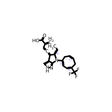 C=C(C=C=c1/c(=C\C)n(/C2=C/C=C(/C(F)(F)F)C/C=C\C2)c2n[nH]cc12)C(=O)O